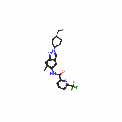 Cc1cc2nn([C@H]3CC[C@H](CI)CC3)cc2cc1NC(=O)c1cccc(C(F)(F)F)n1